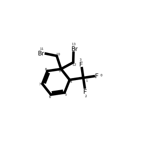 FC(F)(F)C1C=CC=CC1(CBr)CBr